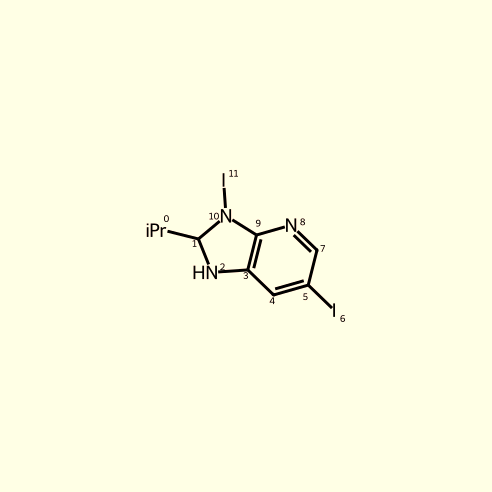 CC(C)C1Nc2cc(I)cnc2N1I